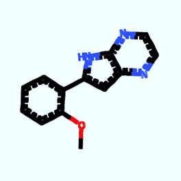 COc1ccccc1-c1cc2nccnc2[nH]1